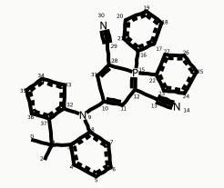 CC1(C)c2ccccc2N(C2=CC(C#N)=P(c3ccccc3)(c3ccccc3)C(C#N)=C2)c2ccccc21